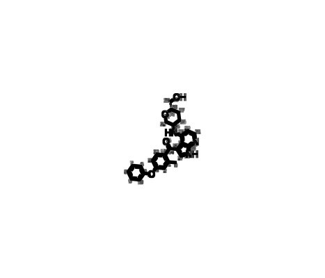 Cc1cc(Oc2ccccc2)ccc1C(=O)c1c[nH]c2nccc(N[C@@H]3CC[C@@H](CO)OC3)c12